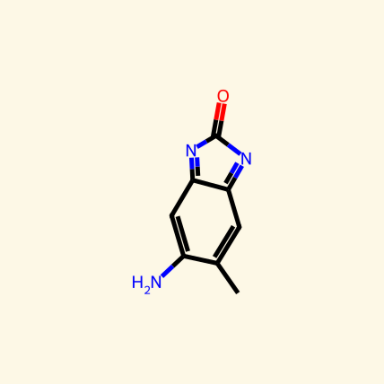 Cc1cc2c(cc1N)=NC(=O)N=2